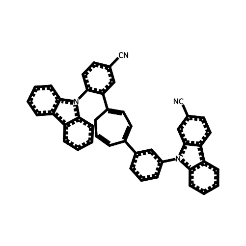 N#Cc1ccc(-n2c3ccccc3c3ccccc32)c(C2=CC=C(c3cccc(-n4c5ccccc5c5ccc(C#N)cc54)c3)C=CC2)c1